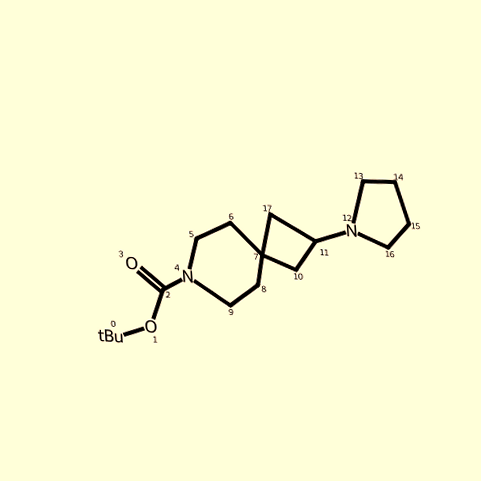 CC(C)(C)OC(=O)N1CCC2(CC1)CC(N1CCCC1)C2